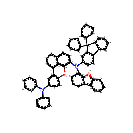 c1ccc(N(c2ccccc2)c2ccc3c(c2)-c2cccc4ccc(N(c5ccc6c(c5)C(c5ccccc5)(c5ccccc5)c5ccccc5-6)c5cccc6c5oc5ccccc56)c(c24)O3)cc1